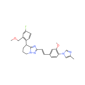 COCc1cc(F)ccc1C1CCCn2nc(C=Cc3ccc(-n4cnc(C)c4)c(OC)c3)nc21